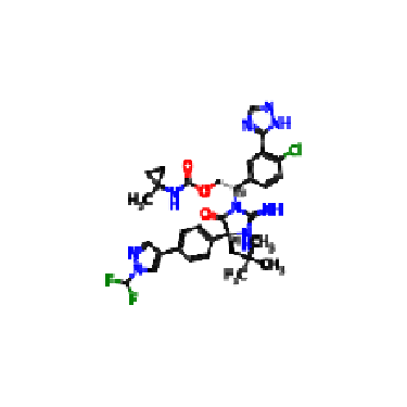 CC1(NC(=O)OC[C@H](c2ccc(Cl)c(-c3ncn[nH]3)c2)N2C(=N)N[C@](CC(C)(C)C(F)(F)F)(c3ccc(-c4cnn(C(F)F)c4)cc3)C2=O)CC1